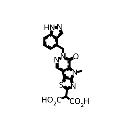 Cn1c2nc(C(C(=O)O)C(=O)O)sc2c2cnn(Cc3cccc4[nH]ncc34)c(=O)c21